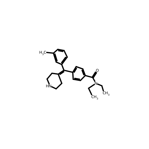 CCN(CC)C(=O)c1ccc(C(=C2CCNCC2)c2cccc(C)c2)cc1